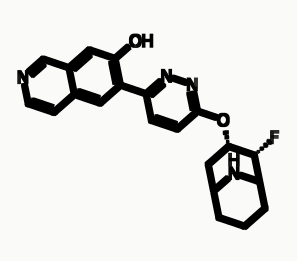 Oc1cc2cnccc2cc1-c1ccc(O[C@H]2CC3CCCC(N3)[C@H]2F)nn1